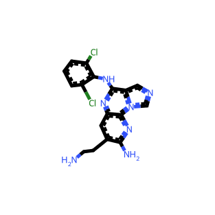 NCCc1cc2nc(Nc3c(Cl)cccc3Cl)c3cncn3c2nc1N